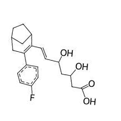 O=C(O)CC(O)CC(O)C=CC1=C(c2ccc(F)cc2)CC2CCC1C2